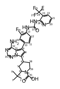 CC(C)(C)C1CC(c2cc(-c3ccc(NC(=O)Nc4ncccc4C(F)(F)F)c(F)c3)c3c(N)ncnn23)CCN1C(=O)O